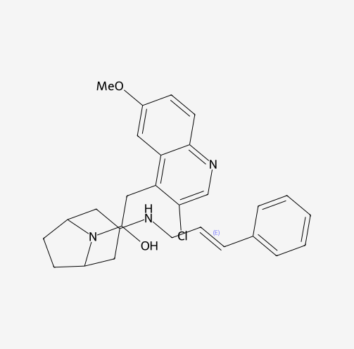 COc1ccc2ncc(Cl)c(CC(O)N3C4CCC3CC(NC/C=C/c3ccccc3)C4)c2c1